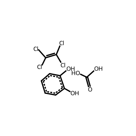 ClC(Cl)=C(Cl)Cl.O=C(O)O.Oc1ccccc1O